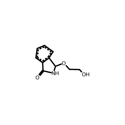 O=C1NC(OCCO)c2ccccc21